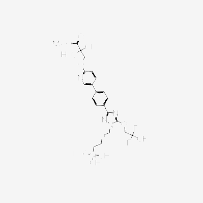 COC(=O)C(C)(C)COc1ccc(-c2ccc(-c3nc(OCC(F)(F)C(F)(F)F)n(COCC[Si](C)(C)C)n3)cc2)cn1